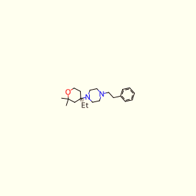 CC[C@@]1(N2CCN(CCc3ccccc3)CC2)CCOC(C)(C)C1